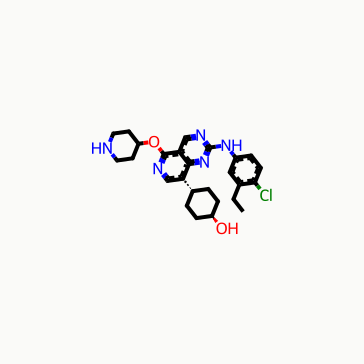 CCc1cc(Nc2ncc3c(OC4CCNCC4)ncc([C@H]4CC[C@H](O)CC4)c3n2)ccc1Cl